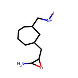 NC1OC1CC1CCCCC(CNI)C1